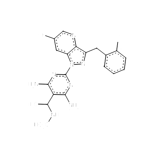 CC(NC(=O)O)c1c(N)nc(-n2nc(Cc3ccccc3F)c3ncc(F)cc32)nc1N